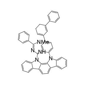 CN/C(=N\C(=N)n1c2ccccc2c2ccc3c4ccccc4n(-c4ccc(C5=CCCC(c6ccccc6)=C5)cc4)c3c21)c1ccccc1